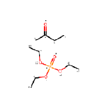 CCC(C)=O.CCOP(=O)(OCC)OCC